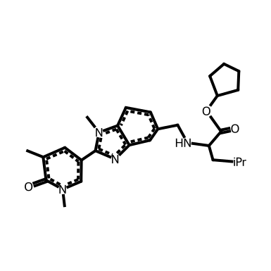 Cc1cc(-c2nc3cc(CNC(CC(C)C)C(=O)OC4CCCC4)ccc3n2C)cn(C)c1=O